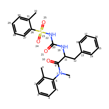 Cc1ccccc1N(C)C(=O)C(Cc1ccccc1)NC(=O)NS(=O)(=O)c1ccccc1C